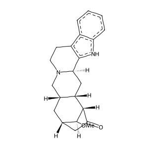 CO[C@H]1[C@@H]2CC(=O)[C@H]1[C@H]1C[C@@H]3c4[nH]c5ccccc5c4CCN3C[C@H]1C2